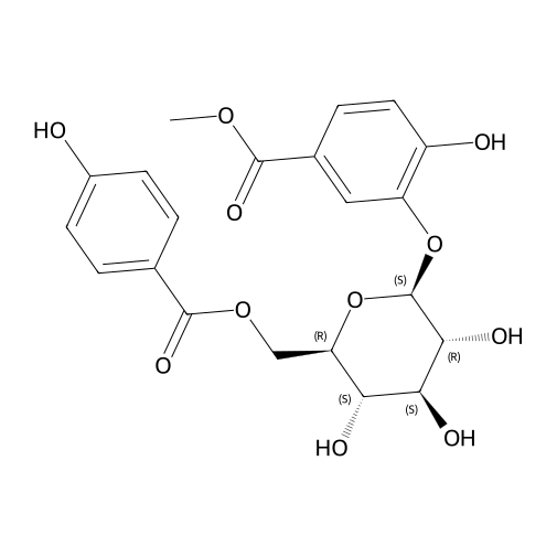 COC(=O)c1ccc(O)c(O[C@@H]2O[C@H](COC(=O)c3ccc(O)cc3)[C@@H](O)[C@H](O)[C@H]2O)c1